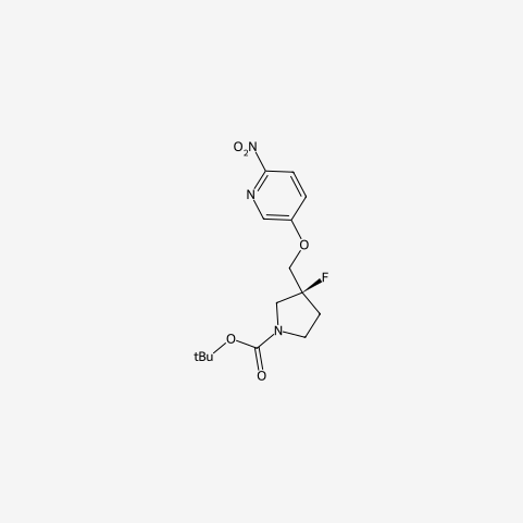 CC(C)(C)OC(=O)N1CC[C@@](F)(COc2ccc([N+](=O)[O-])nc2)C1